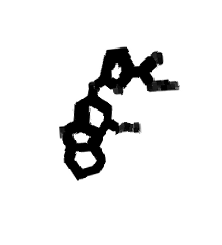 CCCCCCCCC1C=C(Oc2ccc(C(=O)OC)o2)C=C2N=C3CCCCC3=C21